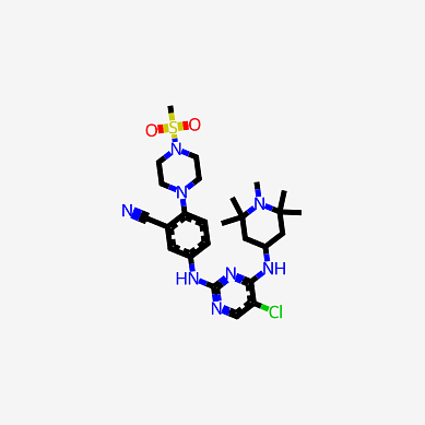 CN1C(C)(C)CC(Nc2nc(Nc3ccc(N4CCN(S(C)(=O)=O)CC4)c(C#N)c3)ncc2Cl)CC1(C)C